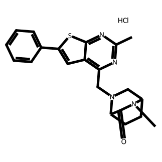 Cc1nc(CN2CC3CCC2C(=O)N3C)c2cc(-c3ccccc3)sc2n1.Cl